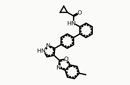 Cc1ccc2nc(-c3c[nH]nc3-c3ccc(-c4ccccc4NC(=O)C4CC4)cc3)oc2c1